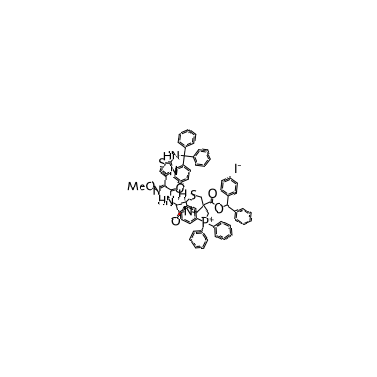 CON=C(C(=O)NC1C(=O)N2CC(C[P+](c3ccccc3)(c3ccccc3)c3ccccc3)(C(=O)OC(c3ccccc3)c3ccccc3)CS[C@H]12)c1csc(NC(c2ccccc2)(c2ccccc2)c2ccccc2)n1.[I-]